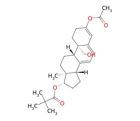 CC(=O)OC1=CC2=CC=C3[C@H](CC[C@]4(C)[C@@H](OC(=O)C(C)(C)C)CC[C@@H]34)[C@@]2(CO)CC1